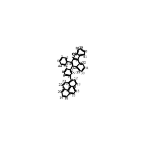 c1ccc(-c2c(-c3cccc(-c4ccc5ccc6cccc7ccc4c5c67)c3)c3ccccc3c3c2sc2ccccc23)cc1